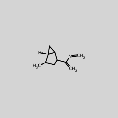 C=NC(=C)C1C[C@@H](C)[C@@H]2CC12